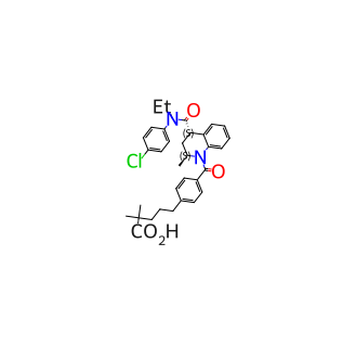 CCN(C(=O)[C@H]1C[C@H](C)N(C(=O)c2ccc(CCCC(C)(C)C(=O)O)cc2)c2ccccc21)c1ccc(Cl)cc1